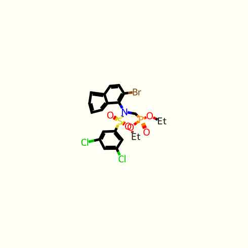 CCOP(=O)(CN(c1c(Br)ccc2ccccc12)S(=O)(=O)c1cc(Cl)cc(Cl)c1)OCC